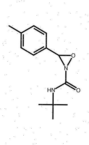 Cc1ccc(C2ON2C(=O)NC(C)(C)C)cc1